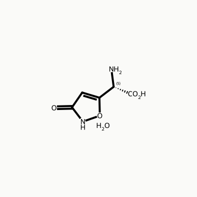 N[C@H](C(=O)O)c1cc(=O)[nH]o1.O